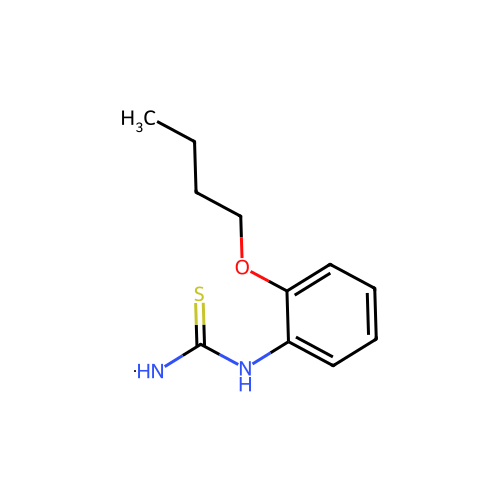 CCCCOc1ccccc1NC([NH])=S